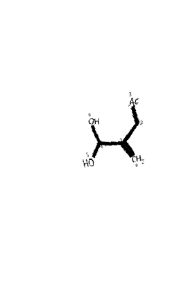 C=C(CC(C)=O)C(O)O